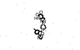 Cc1ccc(-n2nccn2)c(C(=O)N2CCN(c3ncc4cc(Cl)c(=O)[nH]c4n3)CC[C@@H]2C)c1